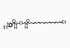 CCC=CCC=CCC=CCC=CCC=CCC=CCCC(=O)NCCOCCNC(=O)c1ccc(CC)nc1